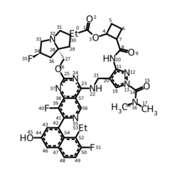 CCC(=O)OC1CCC1C(=O)Nc1nn(C(=O)N(C)C)cc1CNc1nc(OC[C@@]23CCCN2C[C@H](F)C3)nc2c(F)c(-c3cc(O)cc4ccc(F)c(CC)c34)ncc12